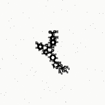 CC(C)(C)OC(=O)N[C@H](CF)[C@H]1CC[C@H](C(=O)N2CC[C@H](c3ccc(F)cc3)[C@H]2C(=O)Nc2ccc3[nH]c(C(=O)O)cc3c2)CC1